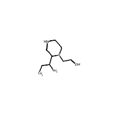 CCC(N)C1CNCCN1CCO